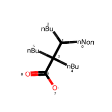 CCCCCCCCCC(CCCC)C(CCCC)(CCCC)C([O])=O